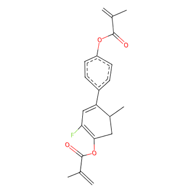 C=C(C)C(=O)OC1=C(F)C=C(c2ccc(OC(=O)C(=C)C)cc2)C(C)C1